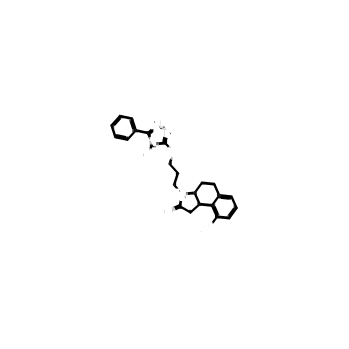 Cn1c(SCCCN2C(=O)CC3c4c(Br)cccc4CCC32)nnc1-c1ccccc1